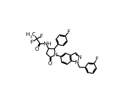 CC(F)(F)C(=O)NC1CC(=O)N(c2ccc3c(cnn3Cc3cccc(F)c3)c2)C1c1ccc(F)cc1